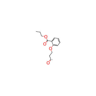 CCCOC(=O)c1ccccc1OCC[C]=O